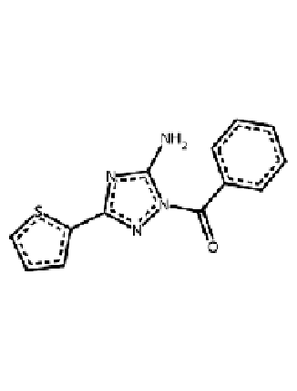 Nc1nc(-c2cccs2)nn1C(=O)c1ccccc1